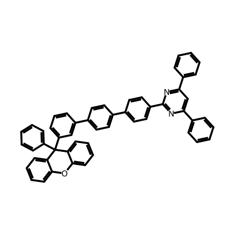 c1ccc(-c2cc(-c3ccccc3)nc(-c3ccc(-c4ccc(-c5cccc(C6(c7ccccc7)c7ccccc7Oc7ccccc76)c5)cc4)cc3)n2)cc1